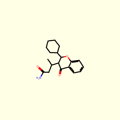 CC(CC(N)=O)C1C(=O)c2ccccc2OC1C1CCCCC1